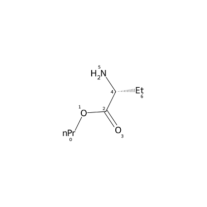 CCCOC(=O)[C@H](N)CC